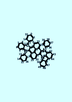 c1ccc(B2c3ccccc3B(c3ccccc3)c3c2c2cccc4c2c2c3cccc2c2c4n(-c3ccccc3)c3cccc4c5ccccc5n2c43)cc1